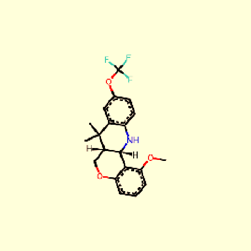 COc1cccc2c1[C@H]1Nc3ccc(OC(F)(F)F)cc3C(C)(C)[C@H]1CO2